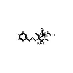 CN1[C@H](O)[C@]2(COCc3ccccc3)SS[C@@]1(CO)C(=O)N2C